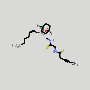 CC#CCC(=S)NCC(=S)NC[C@@H]1[C@H](C/C=C\CCCC(=O)O)[C@@H]2CC[C@H]1O2